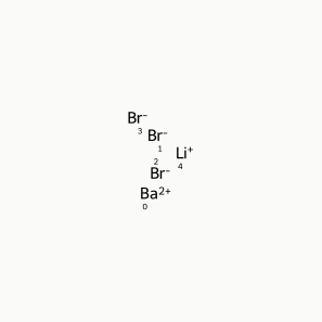 [Ba+2].[Br-].[Br-].[Br-].[Li+]